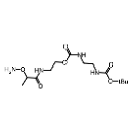 CC(ON)C(=O)NCCOC(=O)NCCNC(=O)OC(C)(C)C